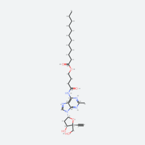 C#C[C@]1(CO)O[C@@H](n2cnc3c(NC(=O)CCCOC(=O)CCCCCCCCCCC)nc(C)nc32)C[C@@H]1O